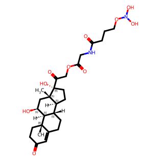 C[C@]12CCC(=O)C=C1CC[C@@H]1[C@@H]2[C@@H](O)C[C@@]2(C)[C@H]1CC[C@]2(O)C(=O)COC(=O)CNC(=O)CCCON(O)O